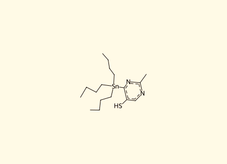 CCC[CH2][Sn]([CH2]CCC)([CH2]CCC)[c]1nc(C)ncc1S